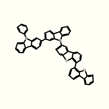 c1ccc(-n2c3ccccc3c3ccc(-c4ccc5c6ccccc6n(-c6ccc7oc8c(-c9cccc%10c9oc9ccccc9%10)cccc8c7c6)c5c4)cc32)cc1